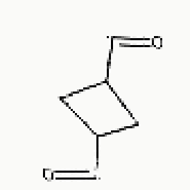 O=[C]C1CC([C]=O)C1